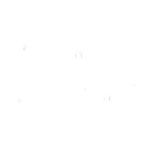 C1CO1.CC(C)CC(C)(O)C=CC(C)(O)CC(C)C